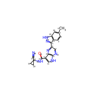 Cc1ccc2c(-c3cnc4[nH]cc(C(=O)NC5(C#N)CC5)c4n3)n[nH]c2c1